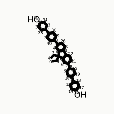 CCC1(CC)c2cc(-c3ccc(-c4ccc(O)cc4)cc3)ccc2-c2ccc(-c3ccc(-c4ccc(O)cc4)cc3)cc21